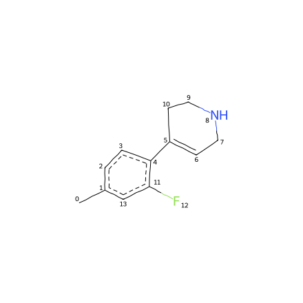 Cc1ccc(C2=CCNCC2)c(F)c1